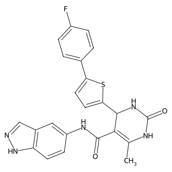 CC1=C(C(=O)Nc2ccc3[nH]ncc3c2)C(c2ccc(-c3ccc(F)cc3)s2)NC(=O)N1